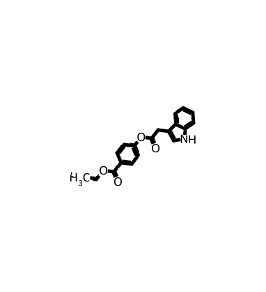 CCOC(=O)c1ccc(OC(=O)Cc2c[nH]c3ccccc23)cc1